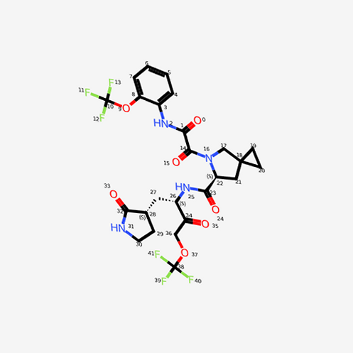 O=C(Nc1ccccc1OC(F)(F)F)C(=O)N1CC2(CC2)C[C@H]1C(=O)N[C@@H](C[C@@H]1CCNC1=O)C(=O)COC(F)(F)F